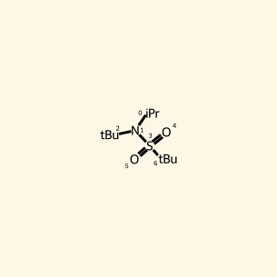 CC(C)N(C(C)(C)C)S(=O)(=O)C(C)(C)C